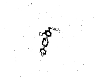 CN1CCC(N2CCN(c3ccc(C[N+](=O)[O-])cc3Cl)CC2)CC1